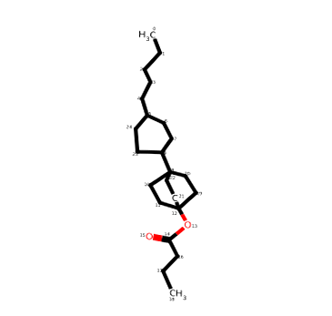 CCCCCC1CCC(C23CCC(OC(=O)CCC)(CC2)CC3)CC1